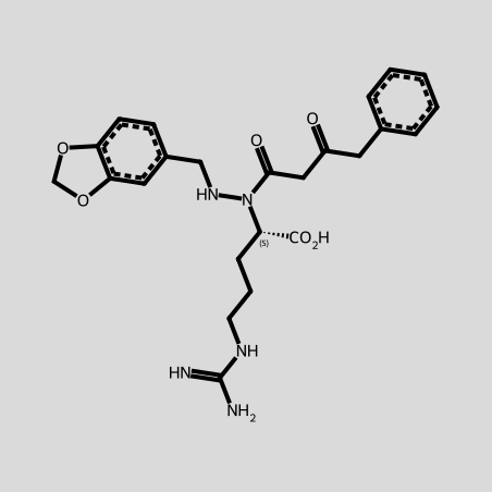 N=C(N)NCCC[C@@H](C(=O)O)N(NCc1ccc2c(c1)OCO2)C(=O)CC(=O)Cc1ccccc1